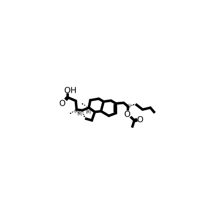 CCCC[C@@H](CC1=CCC2C(CC[C@@]3(C)C2CC[C@@H]3[C@H](C)CC(=O)O)C1)OC(C)=O